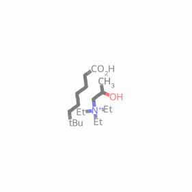 CC(C)(C)CCCCCC(=O)O.CC[N+](CC)(CC)CC(C)O